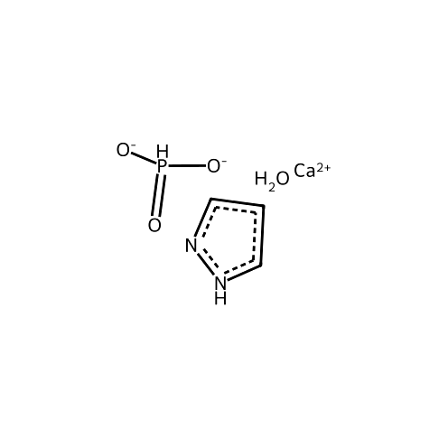 O.O=[PH]([O-])[O-].[Ca+2].c1cn[nH]c1